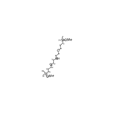 CO[Si](C)(C)CCCOCCNCCOCCC[Si](C)(C)OC